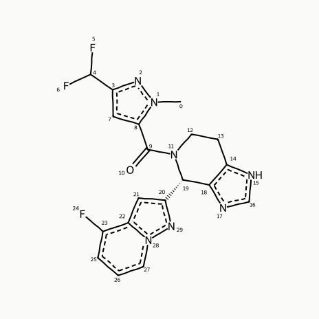 Cn1nc(C(F)F)cc1C(=O)N1CCc2[nH]cnc2[C@@H]1c1cc2c(F)cccn2n1